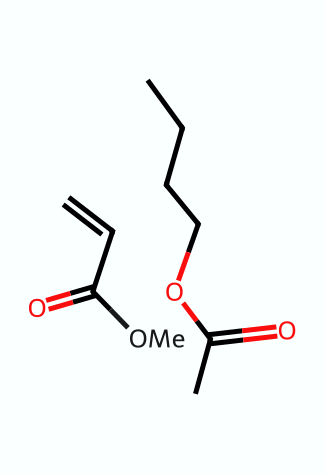 C=CC(=O)OC.CCCCOC(C)=O